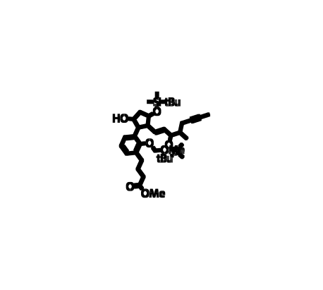 CC#CCC(C)C(/C=C/C1C(O[Si](C)(C)C(C)(C)C)CC(O)C1c1cccc(CCCC(=O)OC)c1OCOC)O[Si](C)(C)C(C)(C)C